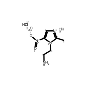 Cc1ncc([N+](=O)[O-])n1CCN.Cl.Cl.O